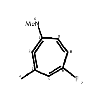 CNC1=C=C(C)C=C(F)C=C1